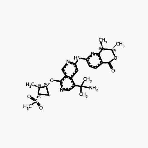 C[C@H]1[C@H](Oc2ncc(C(C)(C)N)c3cc(Nc4ccc5c(n4)[C@@H](C)[C@H](C)OC5=O)ncc23)C[C@@H]1S(C)(=O)=O